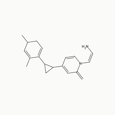 C=C1C=C(C2CC2C2=CCC(C)C=C2C)C=CN1/C=C\N